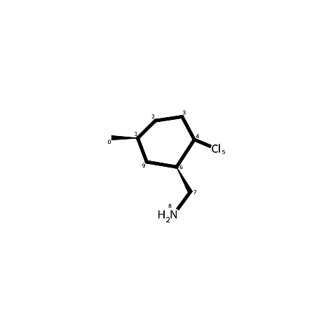 C[C@H]1CCC(Cl)[C@@H](CN)C1